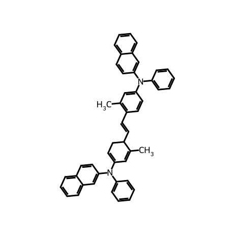 CC1=CC(N(c2ccccc2)c2ccc3ccccc3c2)=CCC1/C=C/c1ccc(N(c2ccccc2)c2ccc3ccccc3c2)cc1C